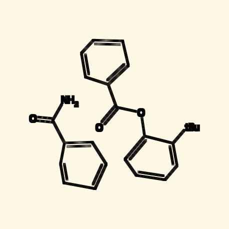 CC(C)(C)c1ccccc1OC(=O)c1ccccc1.NC(=O)c1ccccc1